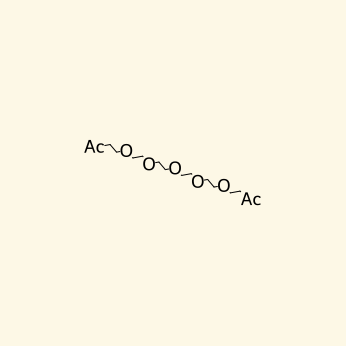 CC(=O)CCOCCOCCOCCOCCOCCC(C)=O